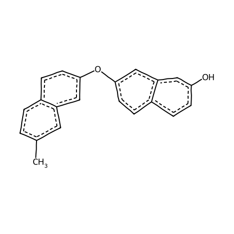 Cc1ccc2ccc(Oc3ccc4ccc(O)cc4c3)cc2c1